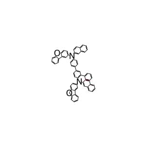 c1ccc(-c2cc(-c3ccc(N(c4ccc5ccccc5c4)c4ccc5oc6ccccc6c5c4)cc3)ccc2N(c2ccc3ccccc3c2)c2ccc3oc4ccccc4c3c2)cc1